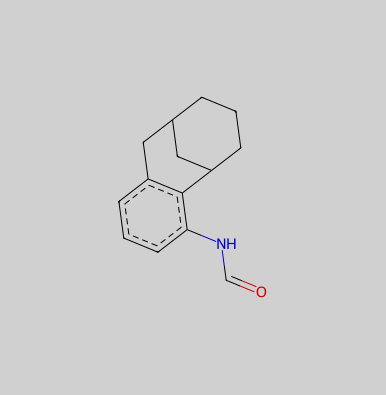 O=CNc1cccc2c1C1CCCC(C2)C1